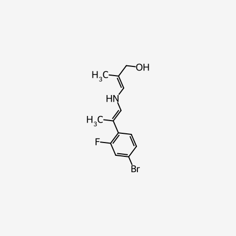 C/C(=C\N/C=C(\C)c1ccc(Br)cc1F)CO